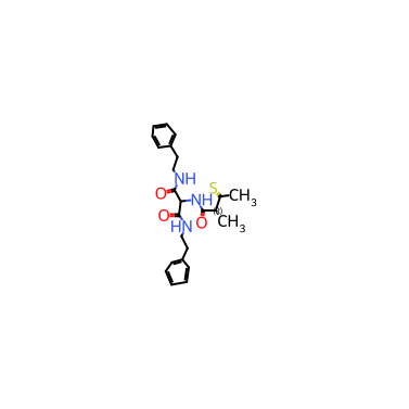 CC(=S)[C@H](C)C(=O)NC(C(=O)NCCc1ccccc1)C(=O)NCCc1ccccc1